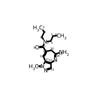 CCCN(CCC)C(=O)C1=Cc2c(cnn2C)N=C(N)C1